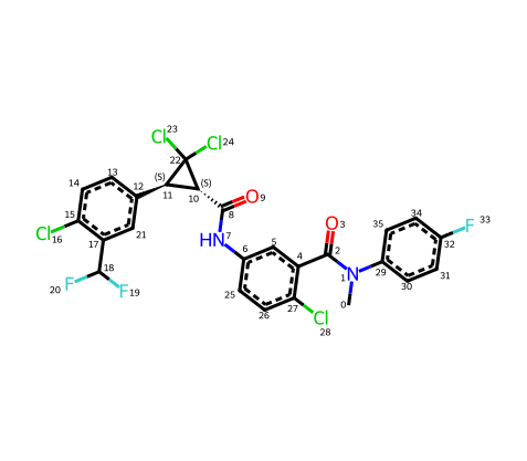 CN(C(=O)c1cc(NC(=O)[C@@H]2[C@@H](c3ccc(Cl)c(C(F)F)c3)C2(Cl)Cl)ccc1Cl)c1ccc(F)cc1